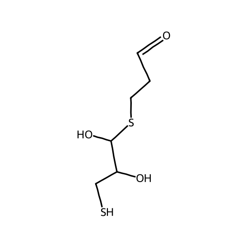 O=CCCSC(O)C(O)CS